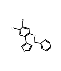 Cc1cc(OCc2ccccc2)c(-c2ccoc2)cc1C